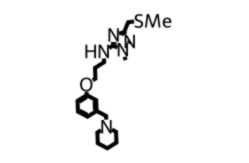 CSCc1nc(NCCCOc2cccc(CN3CCCCC3)c2)n(C)n1